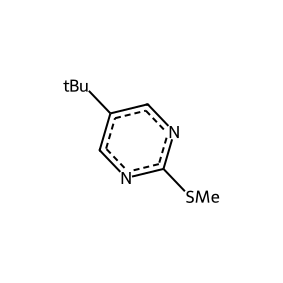 CSc1ncc(C(C)(C)C)cn1